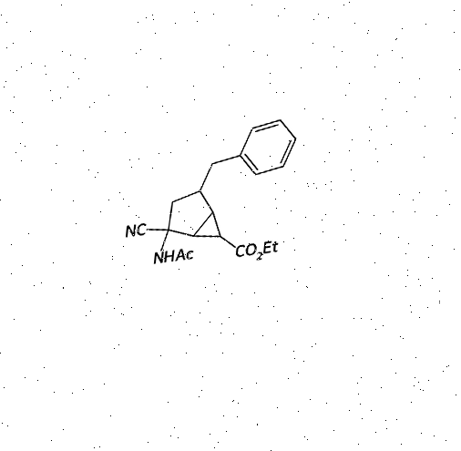 CCOC(=O)C1C2C(Cc3ccccc3)CC(C#N)(NC(C)=O)C12